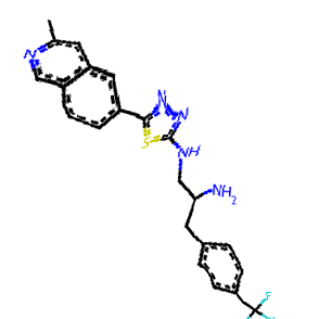 Cc1cc2cc(-c3nnc(NCC(N)Cc4ccc(C(F)(F)F)cc4)s3)ccc2cn1